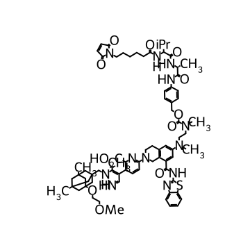 COCCOC12CC3(C)CC(C)(CC(CN/C(C)=C(\C=N)c4ccc(N5CCc6cc(N(C)CCN(C)C(=O)OCc7ccc(NC(=O)[C@H](C)NC(=O)C(NC(=O)CCCCCN8C(=O)C=CC8=O)C(C)C)cc7)cc(C(=O)Nc7nc8ccccc8s7)c6C5)nc4C(=O)O)(C3)C1)C2